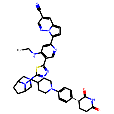 CCNc1cc(-c2ccc3cc(C#N)cnn23)ncc1-c1nnc(N2CC3CCC(C2)N3CC2CCN(c3ccc([C@H]4CCC(=O)NC4=O)cc3)CC2)s1